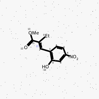 CC/C(=C\c1ccc([N+](=O)[O-])cc1O)C(=O)OC